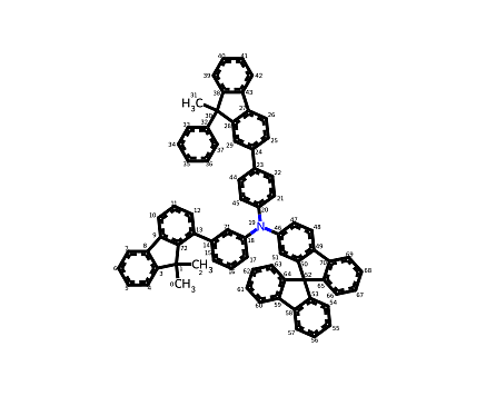 CC1(C)c2ccccc2-c2cccc(-c3cccc(N(c4ccc(-c5ccc6c(c5)C(C)(c5ccccc5)c5ccccc5-6)cc4)c4ccc5c(c4)C4(c6ccccc6-c6ccccc64)c4ccccc4-5)c3)c21